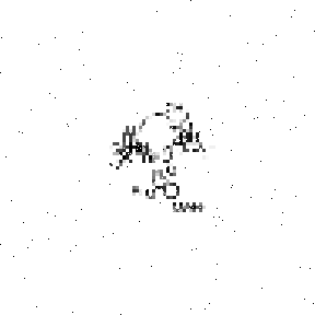 CCOc1cnc(O[C@@H]2C[C@H]3C(=O)N[C@]4(C(=O)NS(=O)(=O)C5CC5)C[C@H]4/C=C\CC[C@@H](C)C[C@@H](CC)[C@H](NC(=O)O)C(=O)N3C2)c2ccc(OC)cc12